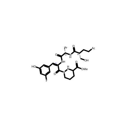 COC(=O)C1CCCN(C(=O)/C(=C\c2cc(O)cc(F)c2)NC(=O)[C@@H](NC(=O)[C@@H](CO)CCC(C)=O)C(C)C)N1